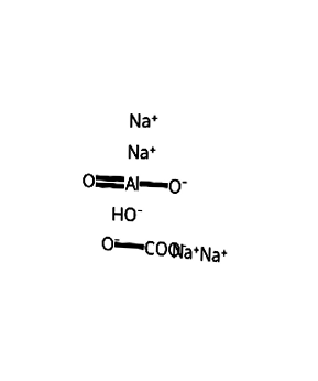 O=C([O-])[O-].[Na+].[Na+].[Na+].[Na+].[OH-].[O]=[Al][O-]